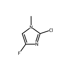 Cn1cc(F)nc1Cl